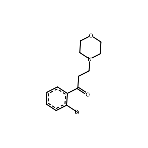 O=C(CCN1CCOCC1)c1ccccc1Br